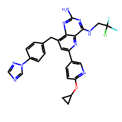 Nc1nc(NCC(F)(F)Cl)c2nc(-c3ccc(OC4CC4)nc3)cc(Cc3ccc(-n4cncn4)cc3)c2n1